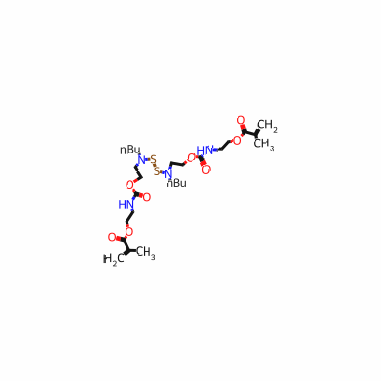 C=C(C)C(=O)OCCNC(=O)OCCN(CCCC)SSN(CCCC)CCOC(=O)NCCOC(=O)C(=C)C